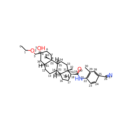 CCOC[C@@]1(O)CC[C@@]2(CC)[C@@H](CC[C@H]3[C@@H]4CC[C@H](C(=O)Nc5ccc(C#N)cc5C)[C@@]4(C)CC[C@@H]32)C1